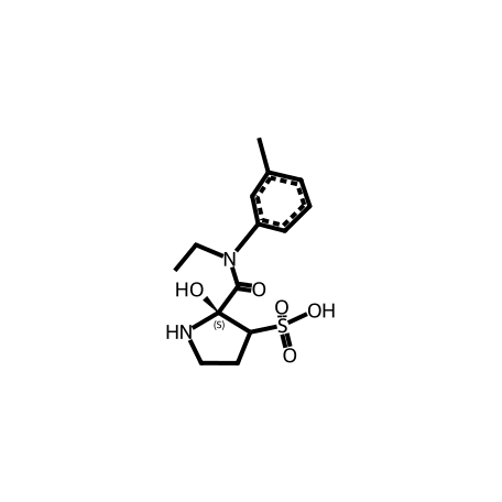 CCN(C(=O)[C@@]1(O)NCCC1S(=O)(=O)O)c1cccc(C)c1